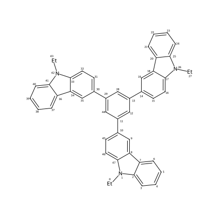 CCn1c2ccccc2c2cc(-c3cc(-c4ccc5c(c4)c4ccccc4n5CC)cc(-c4ccc5c(c4)c4ccccc4n5CC)c3)ccc21